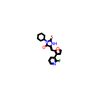 O=C1/C(=C/c2occc2-c2cccnc2F)NC(=S)N1C1CCCCC1